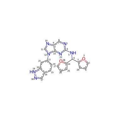 c1coc(C(Nc2ncc3ncn(-c4ccc5cn[nH]c5c4)c3n2)c2ccco2)c1